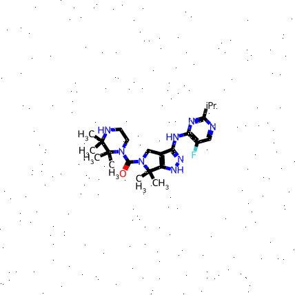 CC(C)c1ncc(F)c(Nc2n[nH]c3c2CN(C(=O)N2CCNC(C)(C)C2(C)C)C3(C)C)n1